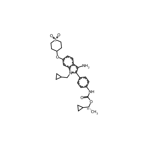 C[C@@H](OC(=O)Nc1ccc(-c2c(N)c3ccc(OC4CCS(=O)(=O)CC4)cc3n2CC2CC2)cc1)C1CC1